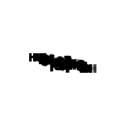 COc1cc2sc(C(=O)CC(C)C(=O)O)cc2c(F)c1OCC(C)COc1c(OC)cc2sc(C(=O)CC(C)C(=O)O)cc2c1F